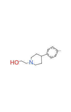 OCCN1CCC(c2cc[c]cc2)CC1